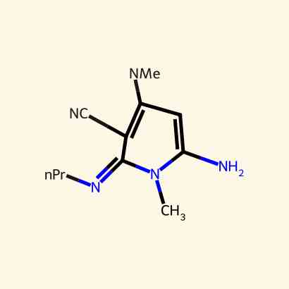 CCCN=c1c(C#N)c(NC)cc(N)n1C